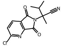 CC(C)C(C)(C#N)N1C(=O)c2ccc(Cl)nc2C1=O